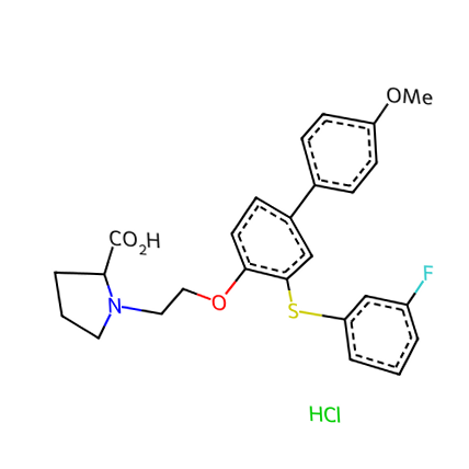 COc1ccc(-c2ccc(OCCN3CCCC3C(=O)O)c(Sc3cccc(F)c3)c2)cc1.Cl